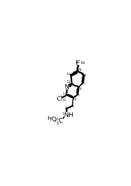 O=C(O)NCCc1cc2ccc(F)cc2nc1Cl